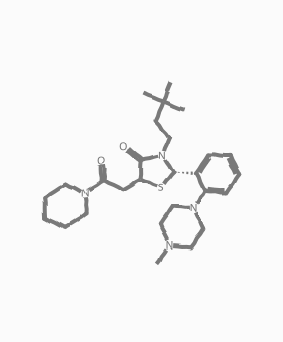 CN1CCN(c2ccccc2[C@@H]2SC(CC(=O)N3CCCCC3)C(=O)N2CCC(C)(C)C)CC1